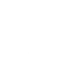 OCC=C(Cl)Cc1ccco1